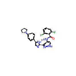 O=C(Nc1c[nH]nc1-c1ncc(-c2ccc(N3CCCC3)cc2)[nH]1)c1c(F)cccc1F